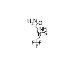 NC(=O)Cc1cn(CCC(F)(F)F)c(=S)[nH]1